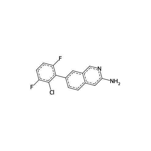 Nc1cc2ccc(-c3c(F)ccc(F)c3Cl)cc2cn1